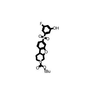 CC(C)(C)OC(=O)N1CCC2c3ccc(S(=O)(=O)c4cc(O)cc(F)c4)cc3OC2C1